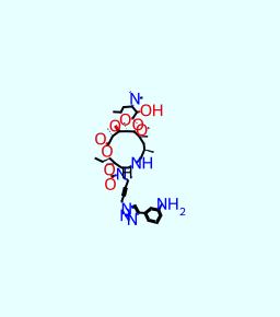 CC[C@H]1OC(=O)[C@H](C)C(=O)[C@H](C)[C@@H](O[C@@H]2OC(C)CC(N(C)C)C2O)[C@](C)(OC)C[C@@H](C)CN[C@H](C)[C@H]2N(CC#CCn3cc(-c4cccc(N)c4)nn3)C(=O)O[C@]12C